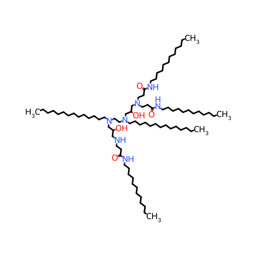 CCCCCCCCCCCCCCN(CCN(CCCCCCCCCCCCCC)CC(O)CN(CCC(=O)NCCCCCCCCCCCC)CCC(=O)NCCCCCCCCCCCC)CC(O)CNCCC(=O)NCCCCCCCCCCCC